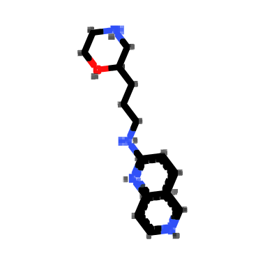 c1cc2nc(NCCCC3CNCCO3)ccc2cn1